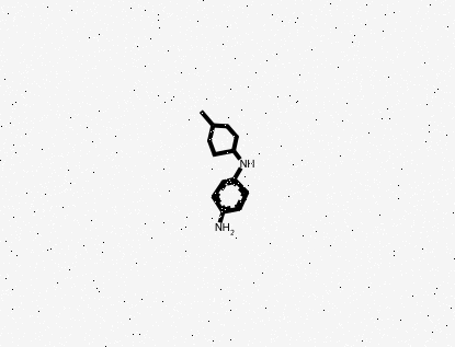 CC1CCC(Nc2ccc(N)cc2)CC1